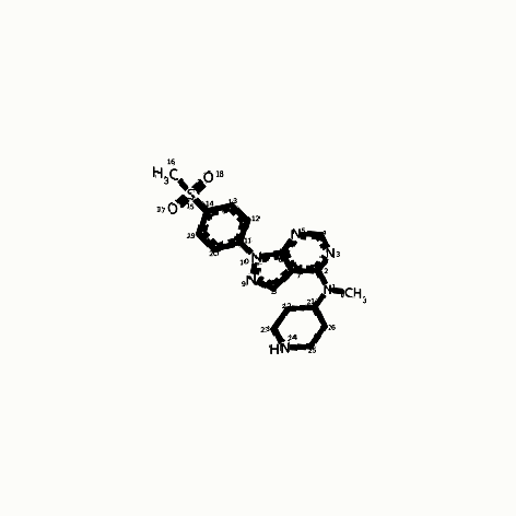 CN(c1ncnc2c1cnn2-c1ccc(S(C)(=O)=O)cc1)C1CCNCC1